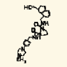 C#Cc1ccc2cccc(CNC(=O)N3CCC[C@H]3C(=O)NCc3ccc(N4CCN(C)CC4)cc3)c2c1